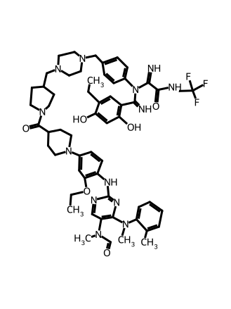 CCOc1cc(N2CCC(C(=O)N3CCC(CN4CCN(Cc5ccc(N(C(=N)C(=O)NCC(F)(F)F)C(=N)c6cc(CC)c(O)cc6O)cc5)CC4)CC3)CC2)ccc1Nc1ncc(N(C)C=O)c(N(C)c2ccccc2C)n1